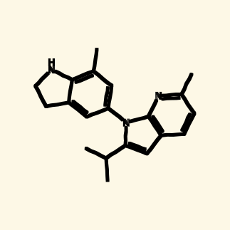 Cc1ccc2cc(C(C)C)n(-c3cc(C)c4c(c3)CCN4)c2n1